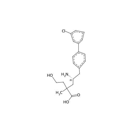 CC(CCO)(C[C@H](N)Cc1ccc(-c2cccc(Cl)c2)cc1)C(=O)O